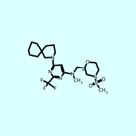 CN(C[C@@H]1CN(S(C)(=O)=O)CCO1)c1cc(N2CCCC3(CCCCC3)C2)nc(C(F)(F)F)n1